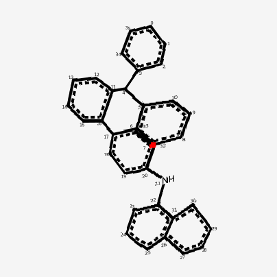 c1ccc(C(c2ccccc2)c2ccccc2-c2ccc(Nc3cccc4ccccc34)cc2)cc1